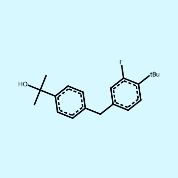 CC(C)(C)c1ccc(Cc2ccc(C(C)(C)O)cc2)cc1F